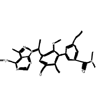 C\C=C(/C=C(\C=C(/C)CC)c1c(C)c(Cl)cc(C(C)n2nc(C)c3c(N)ncnc32)c1OC)C(=O)N(C)C